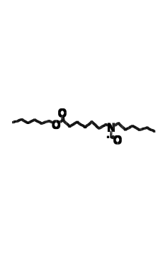 CCCCCCOC(=O)CCCCCCN([C]=O)CCCCCC